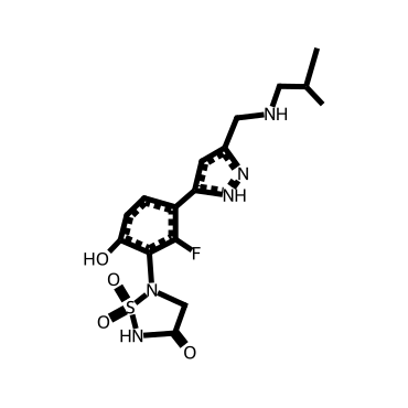 CC(C)CNCc1cc(-c2ccc(O)c(N3CC(=O)NS3(=O)=O)c2F)[nH]n1